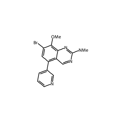 CNc1ncc2c(-c3cccnc3)cc(Br)c(OC)c2n1